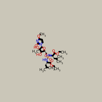 CCOC(=O)[C@H](CC(C)C)NP(=O)(N[C@@H](CC(C)C)C(=O)OCC)OC[C@H]1O[C@@H](n2ccc(OC)nc2=O)[C@](C)(O)[C@@H]1O